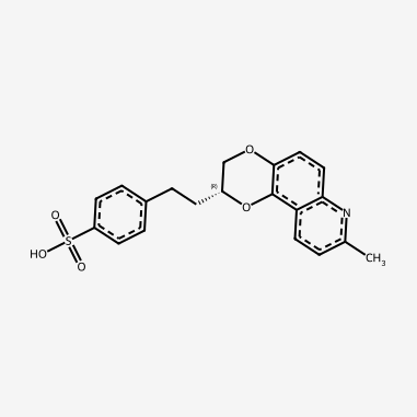 Cc1ccc2c3c(ccc2n1)OC[C@@H](CCc1ccc(S(=O)(=O)O)cc1)O3